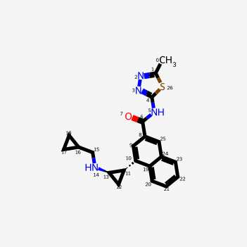 Cc1nnc(NC(=O)c2cc([C@@H]3C[C@H]3NCC3CC3)c3ccccc3c2)s1